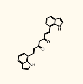 O=C(C=Cc1cccc2cc[nH]c12)CC(=O)C=Cc1cccc2cc[nH]c12